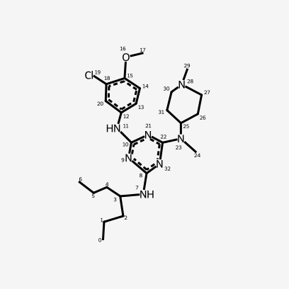 CCCC(CCC)Nc1nc(Nc2ccc(OC)c(Cl)c2)nc(N(C)C2CCN(C)CC2)n1